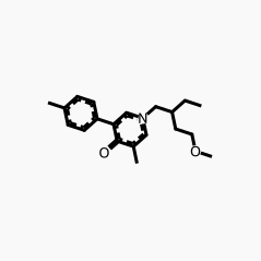 CCC(CCOC)Cn1cc(C)c(=O)c(-c2ccc(C)cc2)c1